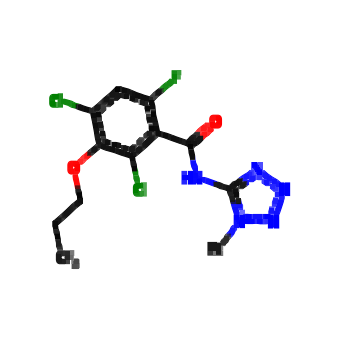 CCn1nnnc1NC(=O)c1c(F)cc(Cl)c(OCCC(F)(F)F)c1Cl